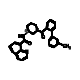 Cc1cccc(-c2ccccc2C(=O)N2CCC[C@@H](NC(=O)c3cccc4cccnc34)C2)c1